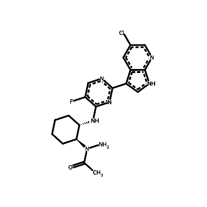 CC(=O)N(N)[C@H]1CCCC[C@@H]1Nc1nc(-c2c[nH]c3ncc(Cl)cc23)ncc1F